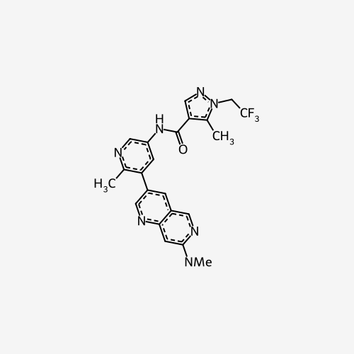 CNc1cc2ncc(-c3cc(NC(=O)c4cnn(CC(F)(F)F)c4C)cnc3C)cc2cn1